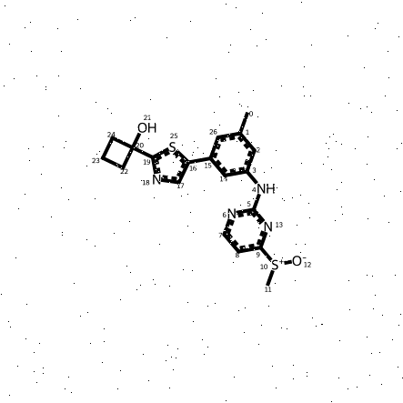 Cc1cc(Nc2nccc([S+](C)[O-])n2)cc(-c2cnc(C3(O)CCC3)s2)c1